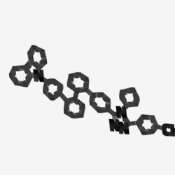 Cc1ccc(-c2nnc(-c3ccc(-c4ccccc4-c4ccccc4-c4ccc(-n5c6ccccc6c6ccccc65)cc4)cc3)n2-c2ccccc2)cc1